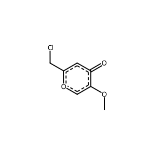 COc1coc(CCl)cc1=O